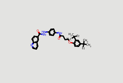 CCC(C)(C)c1ccc(OCCCC(=O)Nc2ccc(NNC(=O)c3ccc4ncccc4c3)cc2)c(C(C)(C)CC)c1